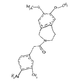 COc1cc2c(cc1OC)CN(C(=O)Cc1ccc(N)c(C)c1)CC2